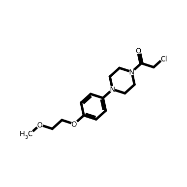 COCCOc1ccc(N2CCN(C(=O)CCl)CC2)cc1